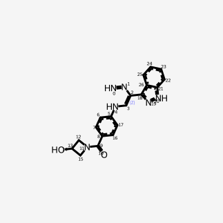 N=N/C(=C\Nc1ccc(C(=O)N2CC(O)C2)cc1)c1n[nH]c2ccccc12